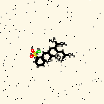 CC(C)CCC(CC(Cc1ccccc1S(=O)(=O)Cl)C(C)C)C(C)C